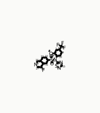 COc1cc(C(F)(F)F)ccc1N(c1ncns1)S(=O)(=O)c1ccc2cncc(F)c2c1